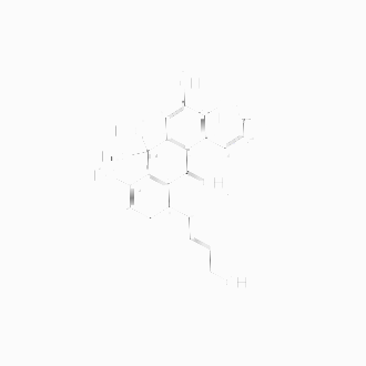 C=C1C2=C(C(C)=CCC2CC=CCC)C(C)(C)c2cc(C)c(C)c(/C=C\C)c21